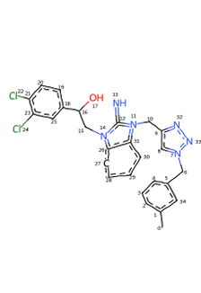 Cc1cccc(Cn2cc(Cn3c(=N)n(CC(O)c4ccc(Cl)c(Cl)c4)c4ccccc43)nn2)c1